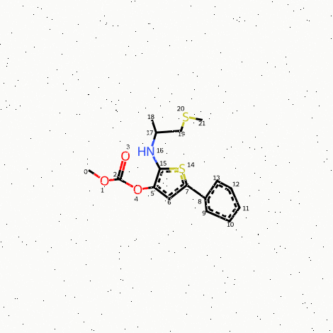 COC(=O)Oc1cc(-c2ccccc2)sc1NC(C)CSC